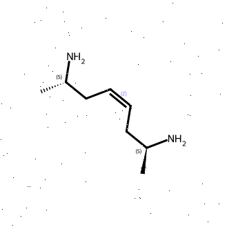 C[C@H](N)C/C=C\C[C@H](C)N